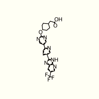 O=C(O)CC1CCC(Oc2ncc(-c3ccc(-c4nc5cc(C(F)(F)F)cnc5[nH]4)cn3)cn2)CC1